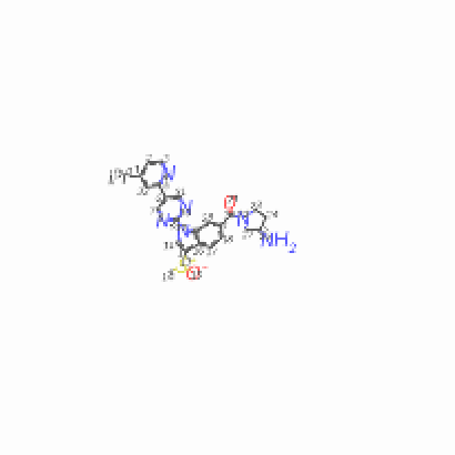 CC(C)c1ccnc(-c2cnc(-n3cc([S+](C)[O-])c4ccc(C(=O)N5CCC(N)C5)cc43)nc2)c1